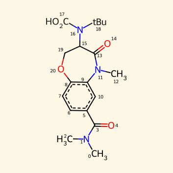 CN(C)C(=O)c1ccc2c(c1)N(C)C(=O)C(N(C(=O)O)C(C)(C)C)CO2